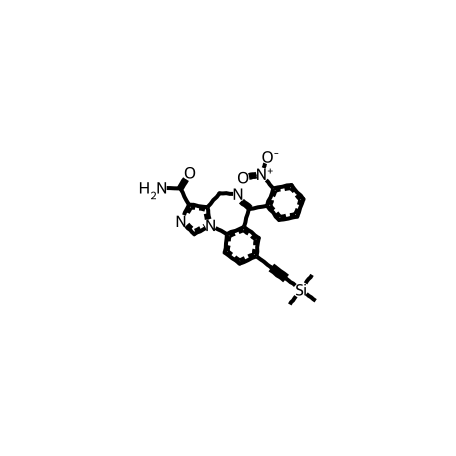 C[Si](C)(C)C#Cc1ccc2c(c1)C(c1ccccc1[N+](=O)[O-])=NCc1c(C(N)=O)ncn1-2